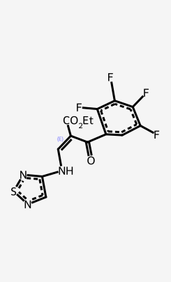 CCOC(=O)/C(=C/Nc1cnsn1)C(=O)c1cc(F)c(F)c(F)c1F